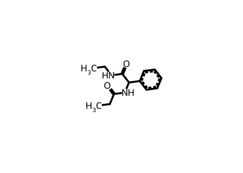 CCNC(=O)C(NC(=O)CC)c1ccccc1